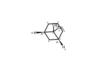 CC1(C)[C@@H]2CCC[C@H]1C2